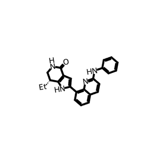 CC[C@@H]1CNC(=O)c2cc(-c3cccc4ccc(Nc5ccccc5)nc34)[nH]c21